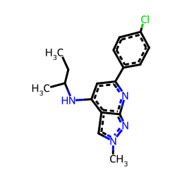 CCC(C)Nc1cc(-c2ccc(Cl)cc2)nc2nn(C)cc12